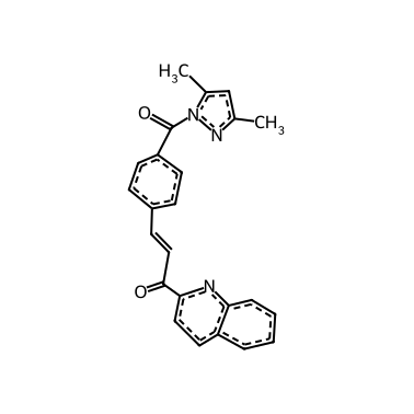 Cc1cc(C)n(C(=O)c2ccc(C=CC(=O)c3ccc4ccccc4n3)cc2)n1